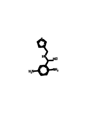 CC(NCc1ccsc1)c1cc(N)ccc1N.Cl